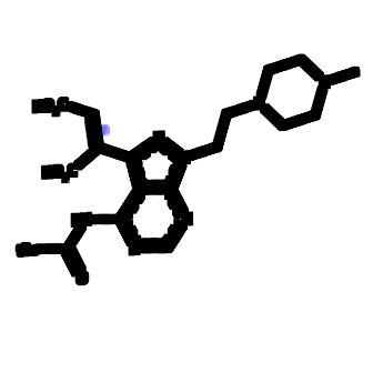 CN1CCN(CCn2nc(/C(=C/C(=O)O)C(=O)O)c3c(NC(=O)C(C)(C)C)ncnc32)CC1